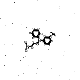 COc1cccc(B(OCCN(C)C)c2ccccc2)c1